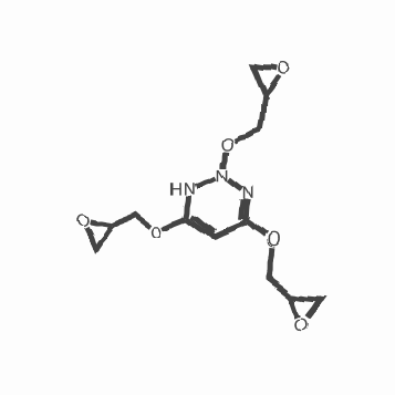 C1=C(OCC2CO2)NN(OCC2CO2)N=C1OCC1CO1